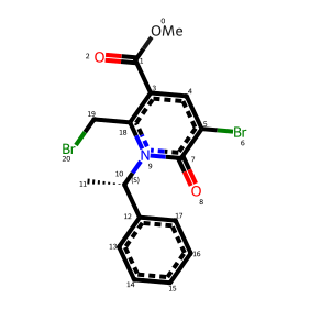 COC(=O)c1cc(Br)c(=O)n([C@@H](C)c2ccccc2)c1CBr